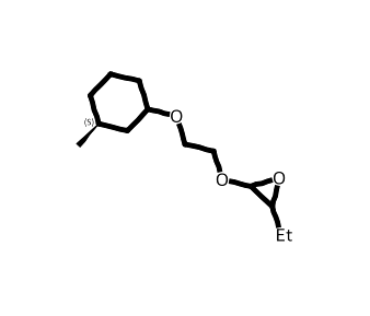 CCC1OC1OCCOC1CCC[C@H](C)C1